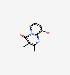 Cc1nc2c(Br)cccn2c(=O)c1C